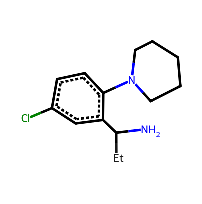 CCC(N)c1cc(Cl)ccc1N1CCCCC1